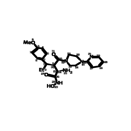 CCC(c1ccc(OC)cc1)[C@@H](C(=O)N1CCN(c2ccccn2)CC1)[C@H](N)C(=O)NO